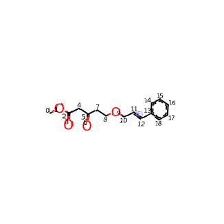 COC(=O)CC(=O)CCOC/C=C/c1ccccc1